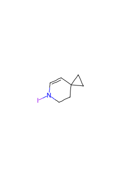 IN1C=CC2(CC1)CC2